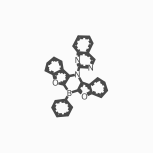 c1ccc(B2c3oc4ccccc4c3N(c3ncc4ccccc4n3)c3c2oc2ccccc32)cc1